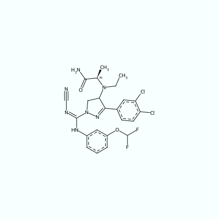 CCN(C1CN(C(=NC#N)Nc2cccc(OC(F)F)c2)N=C1c1ccc(Cl)c(Cl)c1)[C@H](C)C(N)=O